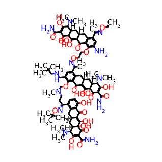 CCO/N=C(\C)c1cc(N)c(OCCO/N=C(\C)c2cc(CNCC(C)(C)C)c(OCN(C)CC/C(=N\OC(C)(C)C)c3ccc(O)c4c3C[C@H]3C[C@H]5[C@H](N(C)C)C(O)=C(C(N)=O)C(=O)[C@@]5(O)C(O)=C3C4=O)c3c2C[C@H]2C[C@H]4[C@H](N(C)C)C(O)=C(C(N)=O)C(=O)[C@@]4(O)C(O)=C2C3=O)c2c1C[C@H]1C[C@H]3[C@H](N(C)C)C(O)=C(C(N)=O)C(=O)[C@@]3(O)C(O)=C1C2=O